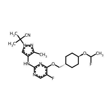 Cc1nn(C(C)(C)C#N)cc1Nc1ncc(F)c(OC[C@H]2CC[C@H](OC(C)F)CC2)n1